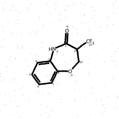 O=C1Nc2ccccc2OCC1C(F)(F)F